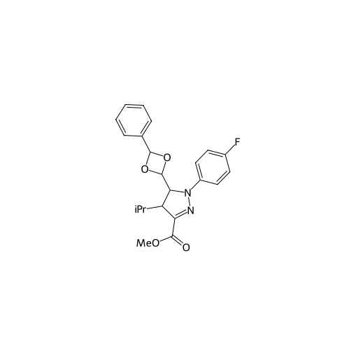 COC(=O)C1=NN(c2ccc(F)cc2)C(C2OC(c3ccccc3)O2)C1C(C)C